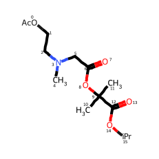 CC(=O)OCCN(C)CC(=O)OC(C)(C)C(=O)OC(C)C